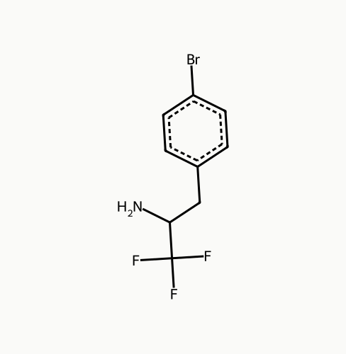 NC(Cc1ccc(Br)cc1)C(F)(F)F